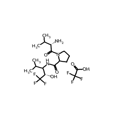 CC(C)C(NC(=O)C1CCCN1C(=O)[C@@H](N)C(C)C)[C@H](O)C(F)(F)F.O=C(O)C(F)(F)F